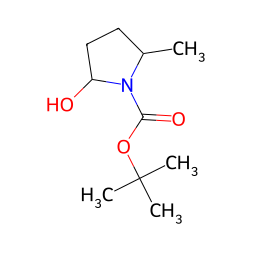 CC1CCC(O)N1C(=O)OC(C)(C)C